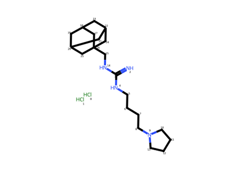 Cl.Cl.N=C(NCCCCN1CCCC1)NCC12CC3CC(CC(C3)C1)C2